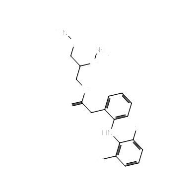 O=C(Cc1ccccc1Nc1c(Cl)cccc1Cl)OCC(CO[N+](=O)[O-])O[N+](=O)[O-]